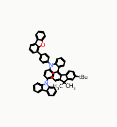 CC(C)(C)c1ccc2c(c1)C(C)(C)c1cccc(-c3ccccc3N(c3ccc(-c4cccc5c4oc4ccccc45)cc3)c3ccc(-n4c5ccccc5c5ccccc54)cc3)c1-2